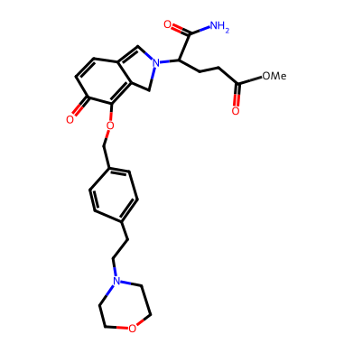 COC(=O)CCC(C(N)=O)N1C=C2C=CC(=O)C(OCc3ccc(CCN4CCOCC4)cc3)=C2C1